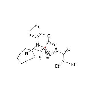 CCN(CC)C(=O)c1ccc2c(c1)Oc1ccccc1N2C1CC2CCC(C1)N2Cc1cccs1